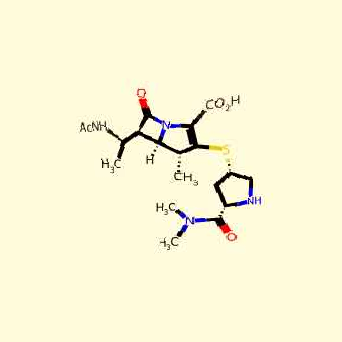 CC(=O)N[C@H](C)[C@H]1C(=O)N2C(C(=O)O)=C(S[C@@H]3CN[C@H](C(=O)N(C)C)C3)[C@H](C)[C@@H]12